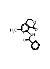 Cc1cc2c(c(NC(=O)c3ccccc3)n1)C(=O)OCC2